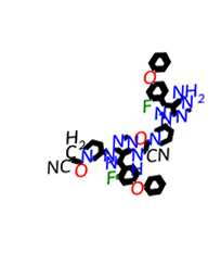 C=C(C#N)C(=O)N1CCC[C@@H](n2nc(-c3ccc(Oc4ccccc4)cc3F)c3c(NC(C#N)C(=O)N4CCC[C@@H](n5nc(-c6ccc(Oc7ccccc7)cc6F)c6c(N)ncnc65)C4)ncnc32)C1